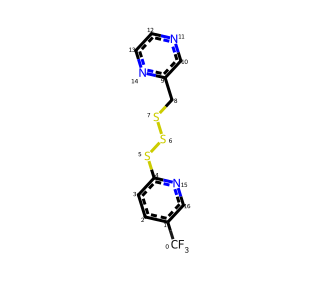 FC(F)(F)c1ccc(SSSCc2cnccn2)nc1